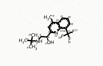 Cc1cc([C@@H](O)CNC(C)(C)C)nc2c(C(F)(F)F)cccc12